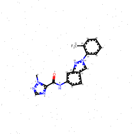 Cn1ncnc1C(=O)Nc1ccc2cn(-c3ccccc3C(F)(F)F)nc2c1